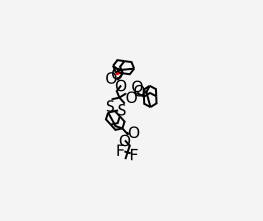 CC(F)(F)COC(=O)C12CC3CC(C1)C1(SCC(COC(=O)C45CC6CC(C4)C(=O)C(C6)C5)(COC(=O)C45CC6CC(C4)C(=O)C(C6)C5)CS1)C(C3)C2